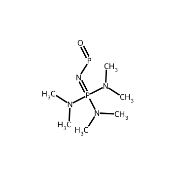 CN(C)P(=NP=O)(N(C)C)N(C)C